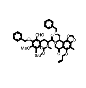 C=CCOc1c(C)c2c(c3c1C(=O)CN(C(=O)C(Cc1cc(C)c(OC)c(OCc4ccccc4)c1C=O)N(C)C(=O)OC(C)(C)C)[C@H]3COCc1ccccc1)OCO2